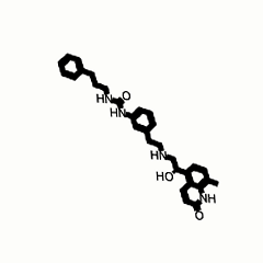 Cc1ccc([C@@H](O)CNCCc2cccc(NC(=O)NCCCc3ccccc3)c2)c2ccc(=O)[nH]c12